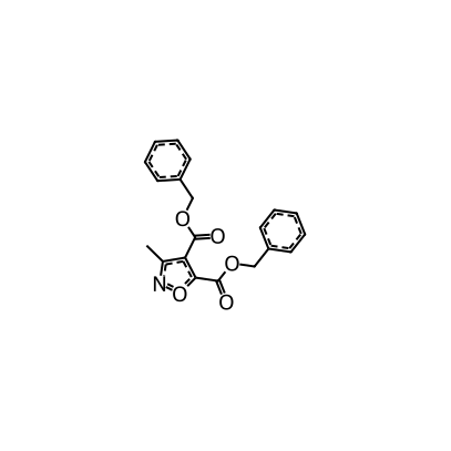 Cc1noc(C(=O)OCc2ccccc2)c1C(=O)OCc1ccccc1